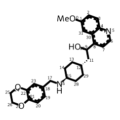 COc1ccc2nccc(C(O)C[C@H]3CC[C@H](NCc4ccc5c(c4)OCCO5)CC3)c2c1